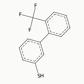 FC(F)(F)c1ccccc1-c1cccc(S)c1